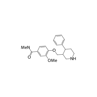 CNC(=O)c1ccc(OCC2CNCCC2c2ccccc2)c(OC)c1